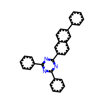 c1ccc(-c2ccc3cc(-c4nc(-c5ccccc5)nc(-c5ccccc5)n4)ccc3c2)cc1